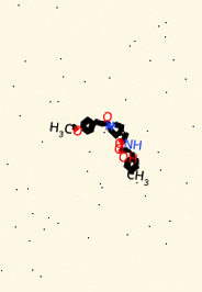 CCOc1ccc(CCC(=O)N2CCC(CC(=O)N[C@@H](Cc3ccc(C)cc3)C(=O)O)CC2)cc1